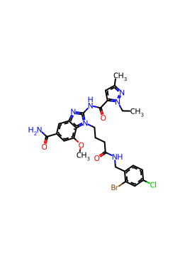 CCn1nc(C)cc1C(=O)Nc1nc2cc(C(N)=O)cc(OC)c2n1CCCC(=O)NCc1ccc(Cl)cc1Br